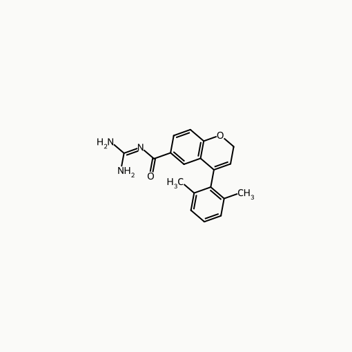 Cc1cccc(C)c1C1=CCOc2ccc(C(=O)N=C(N)N)cc21